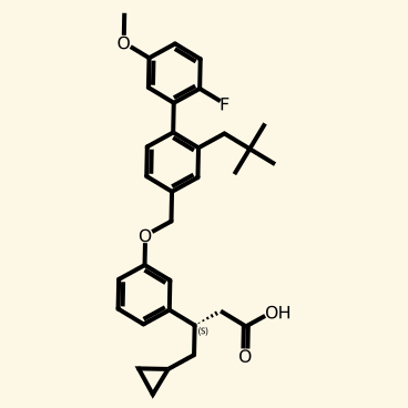 COc1ccc(F)c(-c2ccc(COc3cccc([C@H](CC(=O)O)CC4CC4)c3)cc2CC(C)(C)C)c1